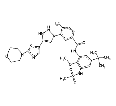 COc1c(NC(=O)c2ccc(C)c(N3C=C(c4cnc(N5CCOCC5)s4)NN3)c2)cc(C(C)(C)C)cc1NS(C)(=O)=O